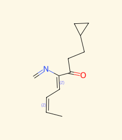 C=N/C(=C\C=C/C)C(=O)CCC1CC1